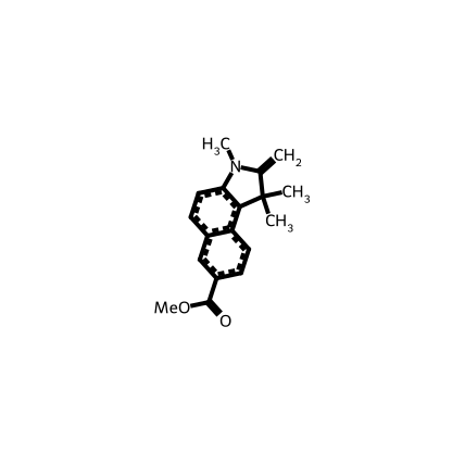 C=C1N(C)c2ccc3cc(C(=O)OC)ccc3c2C1(C)C